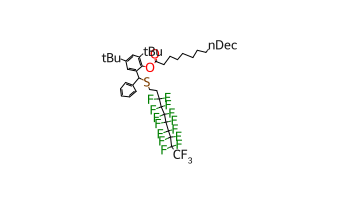 CCCCCCCCCCCCCCCCCC(=O)Oc1c(C(SCCC(F)(F)C(F)(F)C(F)(F)C(F)(F)C(F)(F)C(F)(F)C(F)(F)C(F)(F)F)c2ccccc2)cc(C(C)(C)C)cc1C(C)(C)C